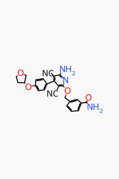 N#Cc1c(N)nc(OCc2cccc(C(N)=O)c2)c(C#N)c1-c1ccc(OC2CCOC2)cc1